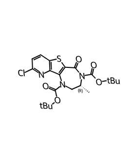 C[C@@H]1CN(C(=O)OC(C)(C)C)c2c(sc3ccc(Cl)nc23)C(=O)N1C(=O)OC(C)(C)C